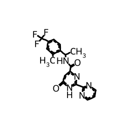 Cc1cc(C(F)(F)F)ccc1C(C)NC(=O)c1cc(=O)[nH]c(-c2ncccn2)n1